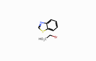 O=C(O)CBr.c1ccc2scnc2c1